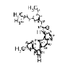 CCC/C=C(\CCCCC(C)C)CCC(=O)Nc1ccnc2c1/C=C/C=C(c1c[nH]nc1-c1cccc(C)n1)/C=C\2